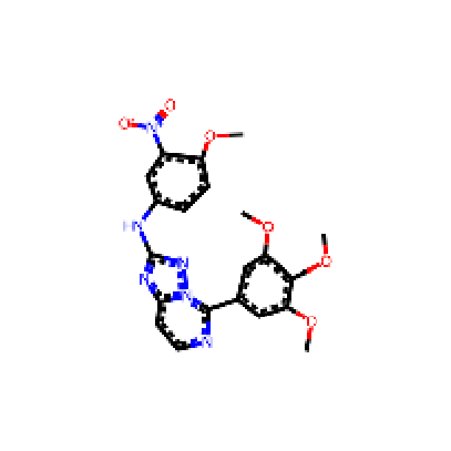 COc1ccc(Nc2nc3ccnc(-c4cc(OC)c(OC)c(OC)c4)n3n2)cc1[N+](=O)[O-]